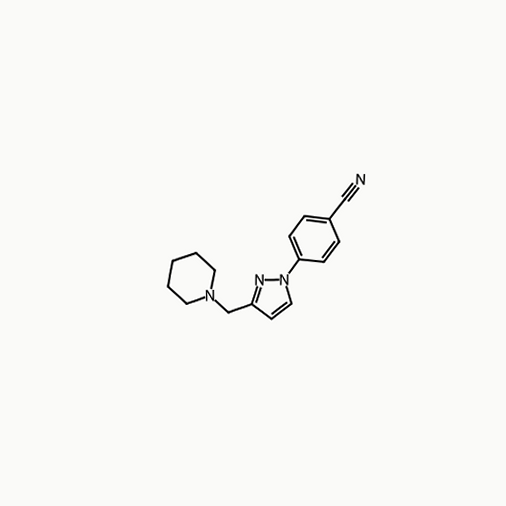 N#Cc1ccc(-n2ccc(CN3CCCCC3)n2)cc1